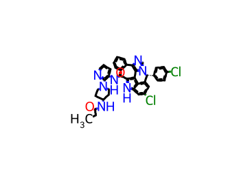 CCC(=O)NC1CCN(c2ncccc2NC(=O)c2[nH]c3cc(Cl)cc4c3c2-c2c(-c3ccccc3)ncn2[C@@H]4c2ccc(Cl)cc2)CC1